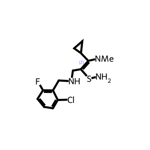 CN/C(=C(/CNCc1c(F)cccc1Cl)SN)C1CC1